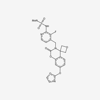 CNS(=O)(=O)Nc1nccc(CN2C(=O)Oc3cc(Oc4ncco4)ccc3C23COC3)c1F